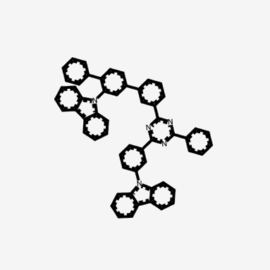 c1ccc(-c2nc(-c3cccc(-c4ccc(-c5ccccc5)c(-n5c6ccccc6c6ccccc65)c4)c3)nc(-c3cccc(-n4c5ccccc5c5ccccc54)c3)n2)cc1